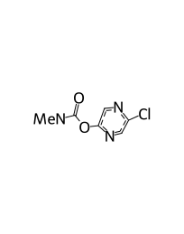 CNC(=O)Oc1cnc(Cl)cn1